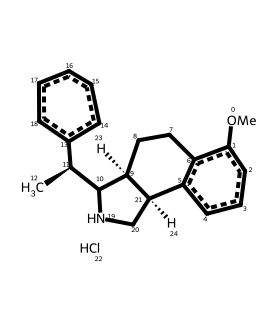 COc1cccc2c1CC[C@@H]1C([C@@H](C)c3ccccc3)NC[C@H]21.Cl